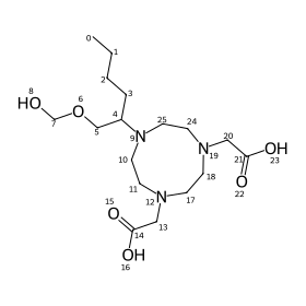 CCCCC(COCO)N1CCN(CC(=O)O)CCN(CC(=O)O)CC1